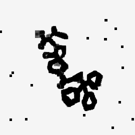 CC(C)[C@@H](C(=O)O)N1CC[C@]2(CCN(C(=O)C3CN3C(c3ccccc3)(c3ccccc3)c3ccccc3)C2)C1=O